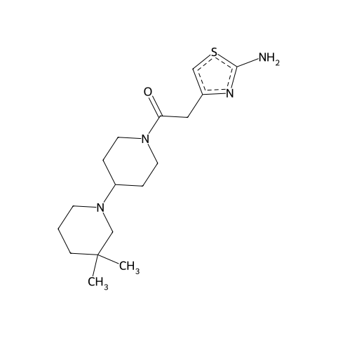 CC1(C)CCCN(C2CCN(C(=O)Cc3csc(N)n3)CC2)C1